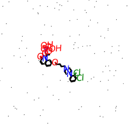 CC(OP(=O)(OO)OO)n1c(=O)ccc2ccc(OCCCCN3CCN(c4cccc(Cl)c4Cl)CC3)cc21